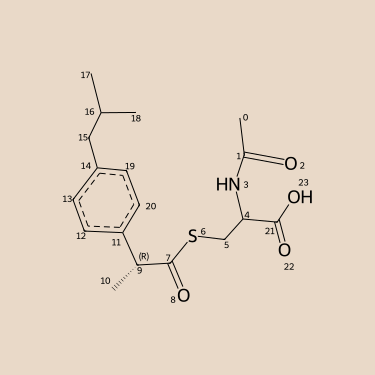 CC(=O)NC(CSC(=O)[C@H](C)c1ccc(CC(C)C)cc1)C(=O)O